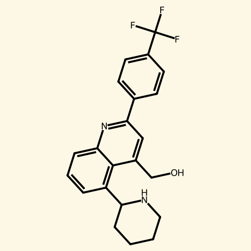 OCc1cc(-c2ccc(C(F)(F)F)cc2)nc2cccc(C3CCCCN3)c12